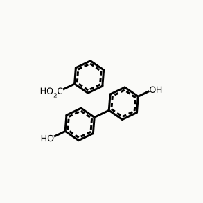 O=C(O)c1ccccc1.Oc1ccc(-c2ccc(O)cc2)cc1